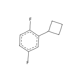 Fc1ccc(F)c([C]2CCC2)c1